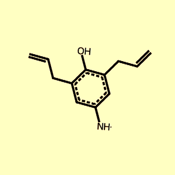 C=CCc1cc([NH])cc(CC=C)c1O